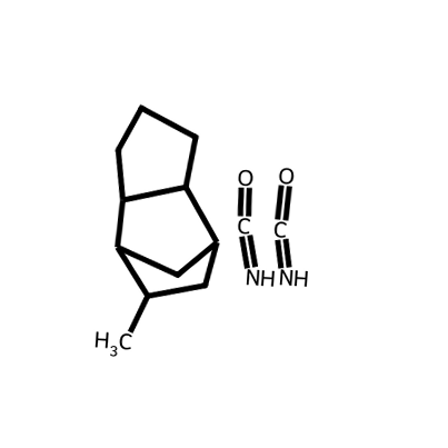 CC1CC2CC1C1CCCC21.N=C=O.N=C=O